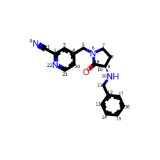 N#Cc1cc(CN2CC[C@H](NCc3ccccc3)C2=O)ccn1